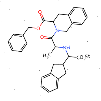 CCOC(=O)C(NC(C)C(=O)N1Cc2ccccc2CC1C(=O)OCc1ccccc1)C1Cc2ccccc2C1